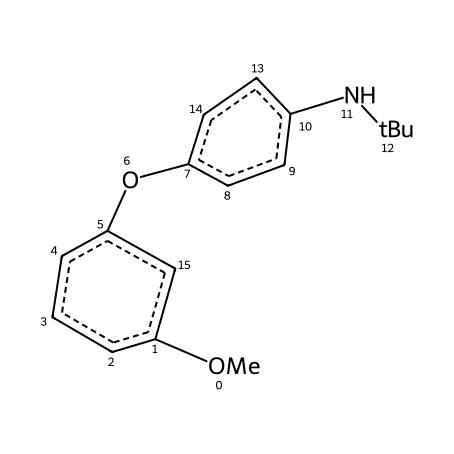 COc1cccc(Oc2ccc(NC(C)(C)C)cc2)c1